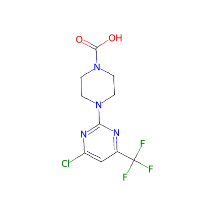 O=C(O)N1CCN(c2nc(Cl)cc(C(F)(F)F)n2)CC1